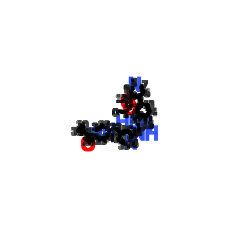 CCOc1c(-c2ccncc2OC)ccc2nc(Nc3cc(CN4CCN(C(=O)C5CC5)CC4)ccn3)[nH]c12